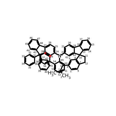 CC(C)Cc1ccc2c(c1)C1(CC2)c2ccccc2-c2ccc(N(c3ccc4c(c3)C(c3ccccc3)(c3ccccc3)c3ccccc3-4)c3ccccc3-c3ccccc3)cc21